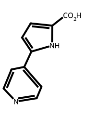 O=C(O)c1ccc(-c2ccncc2)[nH]1